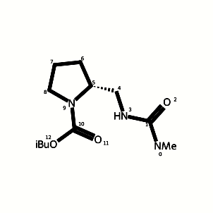 CNC(=O)NC[C@H]1CCCN1C(=O)OCC(C)C